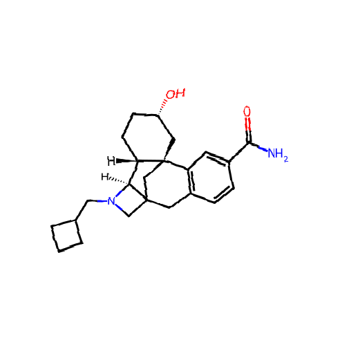 NC(=O)c1ccc2c(c1)[C@@]13C[C@@H](O)CC[C@H]1[C@@H]1N(CC4CCC4)CC1(C2)C3